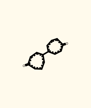 O=c1cccc(-c2cccc(=O)cc2)cc1